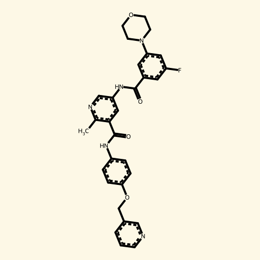 Cc1ncc(NC(=O)c2cc(F)cc(N3CCOCC3)c2)cc1C(=O)Nc1ccc(OCc2cccnc2)cc1